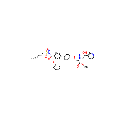 CC(=O)OCCCS(=O)(=O)NC(=O)c1ccc(-c2ccc(OCC(NC[C@@H](O)c3cccnc3)C(=O)OC(C)(C)C)cc2)cc1OC1CCCCC1